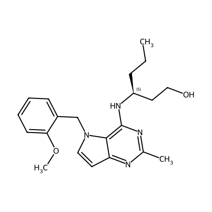 CCC[C@@H](CCO)Nc1nc(C)nc2ccn(Cc3ccccc3OC)c12